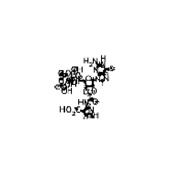 Nc1nc2c(ncn2C2OC(COP(=O)(O)OP(=O)(O)OP(=O)(O)O)C3O[C@@H](C(=O)Nc4n[nH]cc4C(=O)O)OC32)c(=S)[nH]1